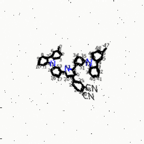 Cc1ccc2c(c1)c1ccccc1n2-c1cccc(-c2cc(-c3ccc(C#N)c(C#N)c3)cc(-c3cccc(-n4c5ccccc5c5cc(C)ccc54)c3)n2)c1